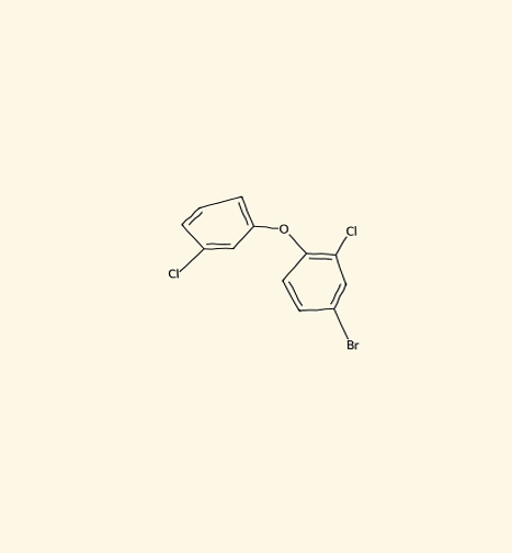 Clc1cccc(Oc2ccc(Br)cc2Cl)c1